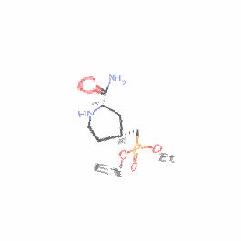 CCOP(=O)(C[C@@H]1CCN[C@H](C(N)=O)C1)OCC